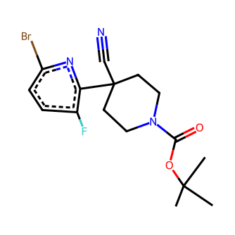 CC(C)(C)OC(=O)N1CCC(C#N)(c2nc(Br)ccc2F)CC1